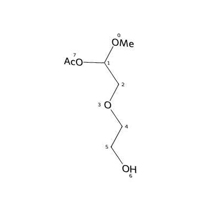 COC(COCCO)OC(C)=O